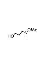 CONCCCO